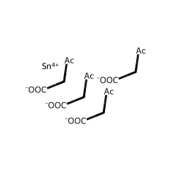 CC(=O)CC(=O)[O-].CC(=O)CC(=O)[O-].CC(=O)CC(=O)[O-].CC(=O)CC(=O)[O-].[Sn+4]